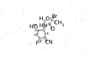 CC(C)(Br)C(=O)Nc1cc(C#N)c(F)cc1O